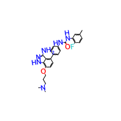 Cc1ccc(F)c(NC(=O)Nc2ccc(-c3ccc(OCCCN(C)C)c4[nH]nc(N)c34)cc2)c1